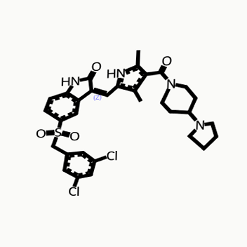 Cc1[nH]c(/C=C2\C(=O)Nc3ccc(S(=O)(=O)Cc4cc(Cl)cc(Cl)c4)cc32)c(C)c1C(=O)N1CCC(N2CCCC2)CC1